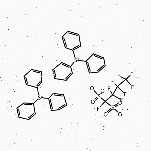 O=S(=O)([O-])C(F)(C(F)(F)C(F)(F)C(F)(F)F)S(=O)(=O)[O-].c1ccc([S+](c2ccccc2)c2ccccc2)cc1.c1ccc([S+](c2ccccc2)c2ccccc2)cc1